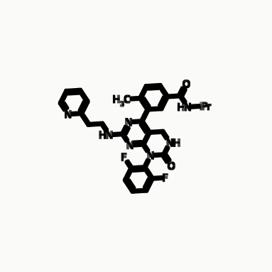 Cc1ccc(C(=O)NC(C)C)cc1-c1nc(NCCc2ccccn2)nc2c1CNC(=O)N2c1c(F)cccc1F